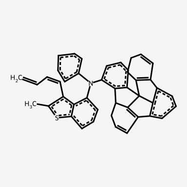 C=C/C=C\c1c(C)sc2cccc(N(c3ccccc3)c3cccc4c3C3CC=CC5=C3C43C4=C(C=CCC4)c4cccc5c43)c12